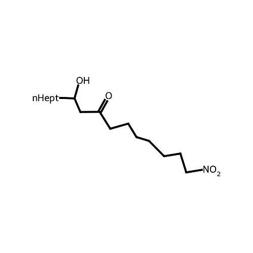 CCCCCCCC(O)CC(=O)CCCCCCC[N+](=O)[O-]